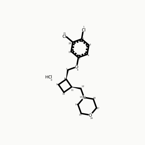 Cl.Clc1ccc(OC[C@@H]2CC[C@@H]2CN2CCOCC2)cc1Cl